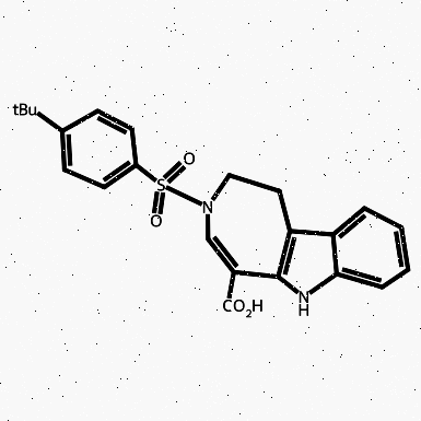 CC(C)(C)c1ccc(S(=O)(=O)N2C=C(C(=O)O)c3[nH]c4ccccc4c3CC2)cc1